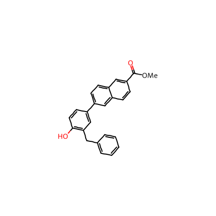 COC(=O)c1ccc2cc(-c3ccc(O)c(Cc4ccccc4)c3)ccc2c1